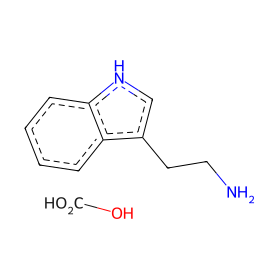 NCCc1c[nH]c2ccccc12.O=C(O)O